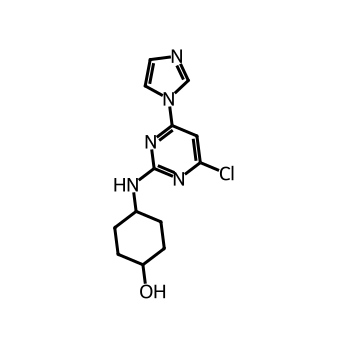 OC1CCC(Nc2nc(Cl)cc(-n3ccnc3)n2)CC1